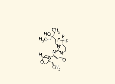 C=CC12CO[C@H](CN1c1cc(=O)n3c(n1)N(CCC(O)(CC)CC)[C@H](C(F)(F)F)CC3)C2